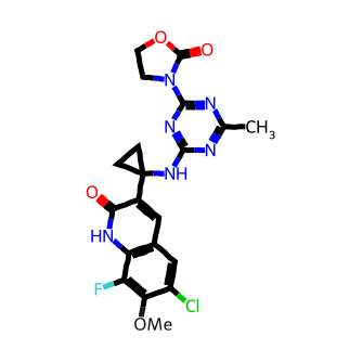 COc1c(Cl)cc2cc(C3(Nc4nc(C)nc(N5CCOC5=O)n4)CC3)c(=O)[nH]c2c1F